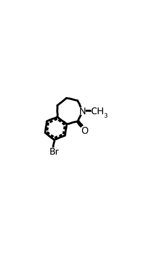 CN1CCCc2ccc(Br)cc2C1=O